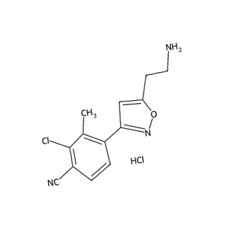 Cc1c(-c2cc(CCN)on2)ccc(C#N)c1Cl.Cl